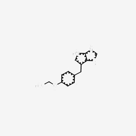 CCOc1ccc(Cc2c[nH]c3ncsc23)cc1